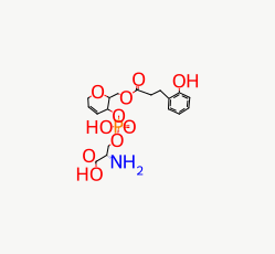 N[C@@H](COP(=O)(O)OC1C=CCOC1COC(=O)CCc1ccccc1O)C(=O)O